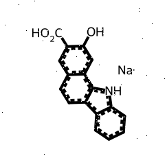 O=C(O)c1cc2ccc3c4ccccc4[nH]c3c2cc1O.[Na]